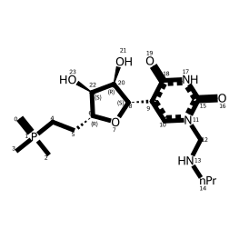 C=P(C)(C)CC[C@H]1O[C@@H](c2cn(CNCCC)c(=O)[nH]c2=O)[C@H](O)[C@@H]1O